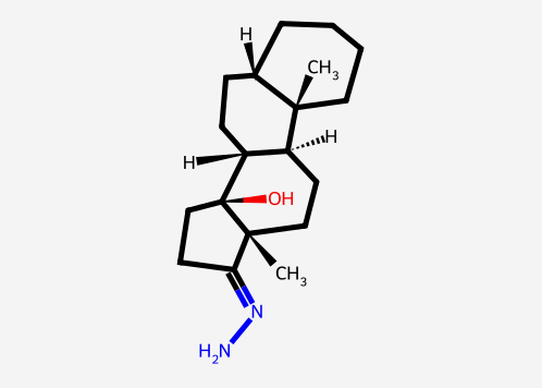 C[C@]12CCCC[C@H]1CC[C@@H]1[C@@H]2CC[C@]2(C)C(=NN)CC[C@]12O